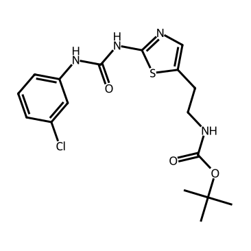 CC(C)(C)OC(=O)NCCc1cnc(NC(=O)Nc2cccc(Cl)c2)s1